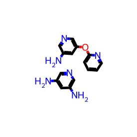 Nc1cncc(N)c1.Nc1cncc(Oc2ccccn2)c1